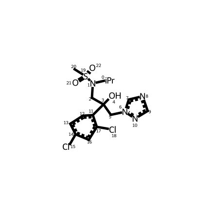 CC(C)N(CC(O)(Cn1cncn1)c1ccc(Cl)cc1Cl)S(C)(=O)=O